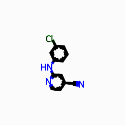 N#Cc1ccnc(Nc2cccc(Cl)c2)c1